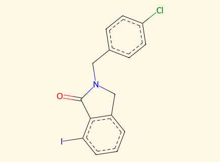 O=C1c2c(I)cccc2CN1Cc1ccc(Cl)cc1